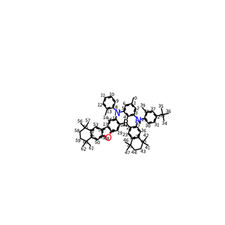 Cc1cc2c3c(c1)N(c1ccccc1C)c1cc4c(cc1B3c1cc3c(cc1N2c1ccc(C(C)(C)C)cc1C)C(C)(C)CCC3(C)C)oc1cc2c(cc14)C(C)(C)CCC2(C)C